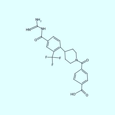 N=C(N)NC(=O)c1ccc(C2CCN(C(=O)c3ccc(C(=O)O)cc3)CC2)c(C(F)(F)F)c1